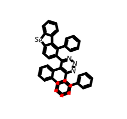 c1ccc(-c2ccccc2-c2nnnc(-c3ccc4[se]c5ccccc5c4c3-c3ccccc3)c2-c2ccccc2-c2ccccc2)cc1